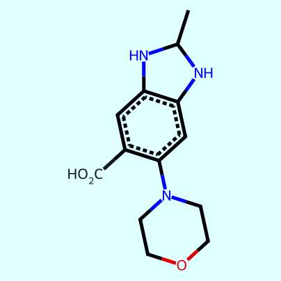 CC1Nc2cc(C(=O)O)c(N3CCOCC3)cc2N1